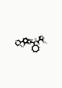 CC(=O)N1CCOCC1c1ccc2[nH]c(C(NC(=O)c3conc3C)C3CCCCCCC3)nc2c1F